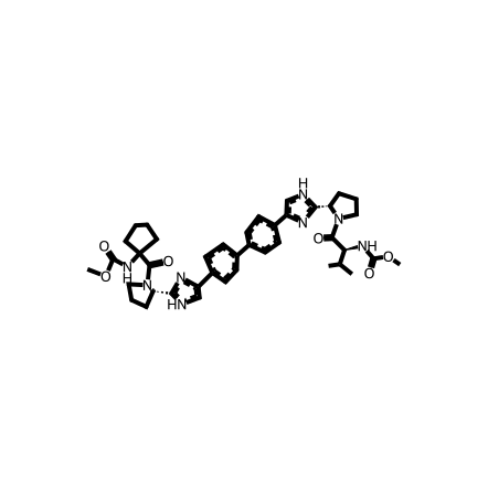 COC(=O)N[C@H](C(=O)N1CCC[C@H]1c1nc(-c2ccc(-c3ccc(-c4c[nH]c([C@@H]5CCCN5C(=O)C5(NC(=O)OC)CCCC5)n4)cc3)cc2)c[nH]1)C(C)C